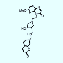 COc1ccc2ncc(=O)n(CCN3C[C@H](CNCc4ccc5ccc(=O)oc5c4)[C@H](O)C3)c2n1